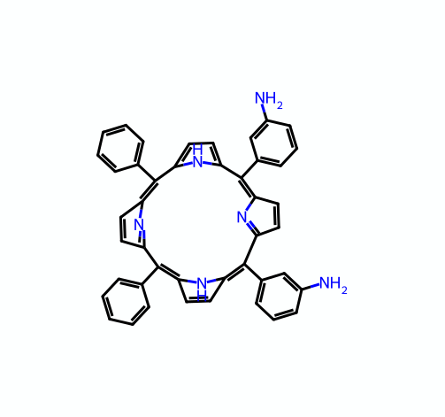 Nc1cccc(-c2c3nc(c(-c4cccc(N)c4)c4ccc([nH]4)c(-c4ccccc4)c4nc(c(-c5ccccc5)c5ccc2[nH]5)C=C4)C=C3)c1